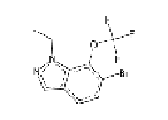 CCn1ncc2ccc(Br)c(OC(F)(F)F)c21